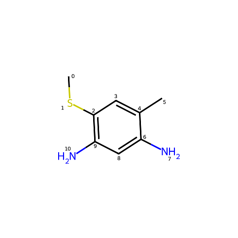 CSc1cc(C)c(N)cc1N